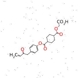 C=CC(=O)Cc1ccc(OC(=O)C2CCC(C(=O)OCC(=O)O)CC2)cc1